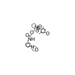 COc1cc(C)c(S(=O)(=O)N2CCCCC2COCC(=O)NCc2cccc(N3CCOCC3)c2)c(C)c1